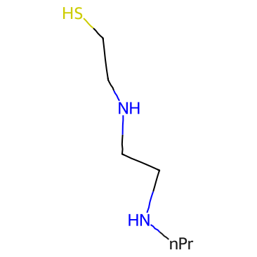 CCCNCCNCCS